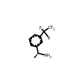 C[C@H](N)c1cccc(C(F)(F)C(F)(F)F)c1